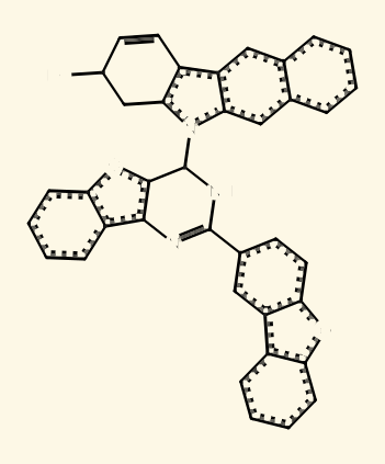 CC1C=Cc2c(n(C3NC(c4ccc5oc6ccccc6c5c4)=Nc4c3oc3ccccc43)c3cc4ccccc4cc23)C1